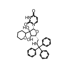 O=c1ccn([C@@H]2O[C@H](CNC(c3ccccc3)(c3ccccc3)c3ccccc3)[C@@H](O)[C@]2(O)C2CCCCO2)c(=O)[nH]1